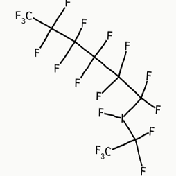 FI(C(F)(F)C(F)(F)F)C(F)(F)C(F)(F)C(F)(F)C(F)(F)C(F)(F)C(F)(F)F